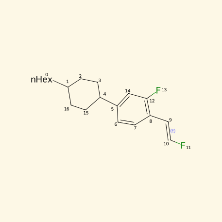 CCCCCCC1CCC(c2ccc(/C=C/F)c(F)c2)CC1